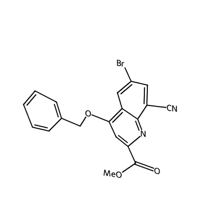 COC(=O)c1cc(OCc2ccccc2)c2cc(Br)cc(C#N)c2n1